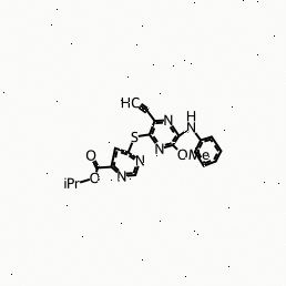 C#Cc1nc(Nc2ccccc2)c(OC)nc1Sc1cc(C(=O)OC(C)C)ncn1